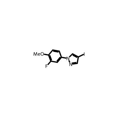 COc1ccc(-n2cc(I)cn2)cc1F